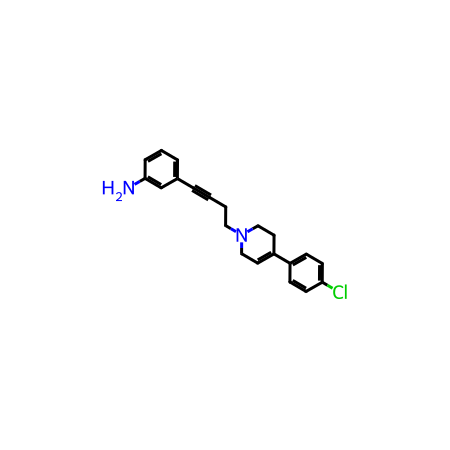 Nc1cccc(C#CCCN2CC=C(c3ccc(Cl)cc3)CC2)c1